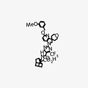 COc1cccc(COc2ccc3c(n2)C2(CCOCC2)CN3c2ncc(C(=O)NC3(C(=O)O)C4CC5CC6CC3C56C4)c(C(F)(F)F)n2)c1